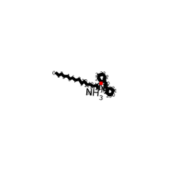 CCCCCCCCCCCCCCCC[N+](C)(C)C(Cc1ccccc1)c1ccccc1.N